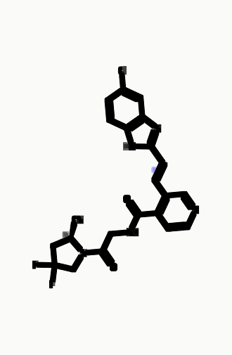 N#C[C@@H]1CC(F)(F)CN1C(=O)CNC(=O)c1ccncc1/C=C/c1nc2cc(Cl)ccc2[nH]1